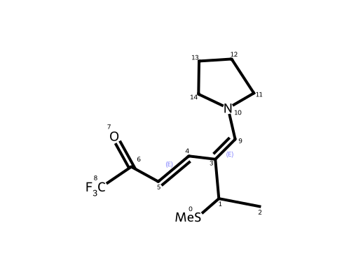 CSC(C)C(/C=C/C(=O)C(F)(F)F)=C/N1CCCC1